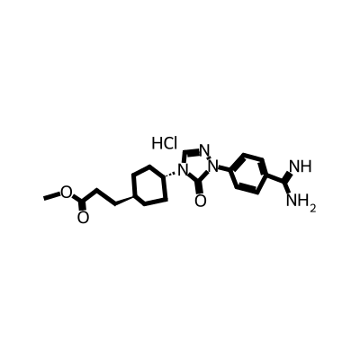 COC(=O)CC[C@H]1CC[C@H](n2cnn(-c3ccc(C(=N)N)cc3)c2=O)CC1.Cl